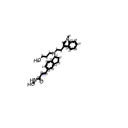 Cn1cc(CCN(CCCO)[C@@H]2CCc3cc(/C=C/C(=O)NO)ccc32)c2ccccc21